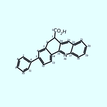 O=C(O)C1Cc2cc(-c3ccccc3)ccc2-c2nc3ccccc3cc21